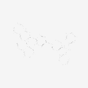 O=P(c1ccccc1)(c1ccccc1)c1ccc(-c2ccc(-c3nc4ccccc4c4ccc5ccccc5c34)cc2)cc1